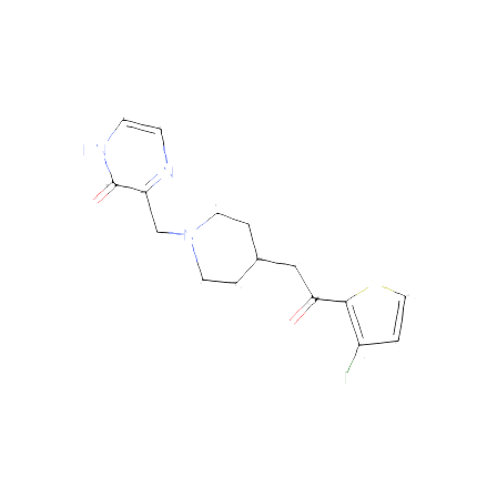 O=C(CC1CCN(Cc2ncc[nH]c2=O)CC1)c1sccc1Cl